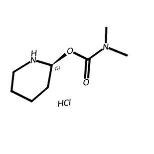 CN(C)C(=O)O[C@H]1CCCCN1.Cl